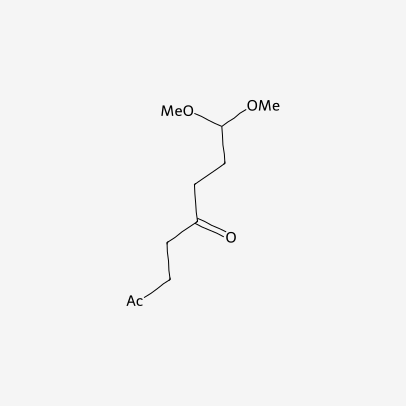 COC(CCC(=O)CCC(C)=O)OC